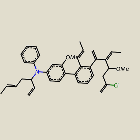 C=CC(CC=CC)N(c1ccccc1)c1ccc(-c2cccc(C(=C)C(=CC)C(CC(=C)Cl)OC)c2C=CC)c(OC)c1